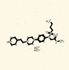 CCCCS(=O)(=O)N(CC(=O)OC)c1ccc(N2CCN(CCC3CCNCC3)CC2)cc1.Cl.Cl